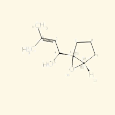 CC(C)=CC(O)[C@@]12CCC[C@@H]1O2